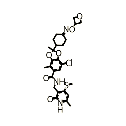 CSc1cc(C)[nH]c(=O)c1CNC(=O)c1cc(Cl)c2c(c1C)OC(C)(C1CCC(=NOC3COC3)CC1)O2